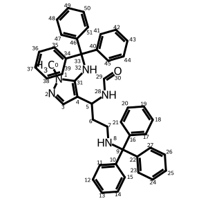 Cn1ncc(C(CCNC(c2ccccc2)(c2ccccc2)c2ccccc2)NC=O)c1NC(c1ccccc1)(c1ccccc1)c1ccccc1